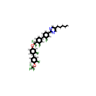 CCCCCc1cnc(-c2ccc(-c3ccc(C(F)(F)Oc4ccc(-c5ccc(OC(F)(F)F)c(F)c5)c(F)c4)c(F)c3)c(F)c2)nc1